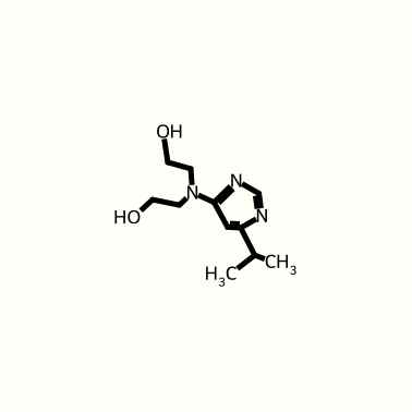 CC(C)c1cc(N(CCO)CCO)ncn1